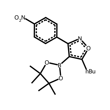 CCCCc1onc(-c2ccc([N+](=O)[O-])cc2)c1B1OC(C)(C)C(C)(C)O1